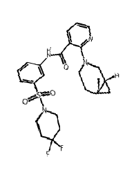 C[C@@]12CCN(c3ncccc3C(=O)Nc3cccc(S(=O)(=O)N4CCC(F)(F)CC4)c3)C[C@@H]1C2